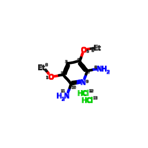 CCOc1cc(OCC)c(N)nc1N.Cl.Cl